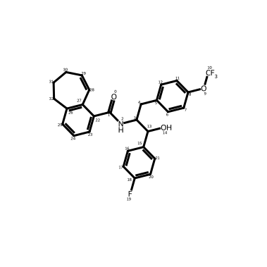 O=C(NC(Cc1ccc(OC(F)(F)F)cc1)C(O)c1ccc(F)cc1)c1cccc2c1C=CCCC2